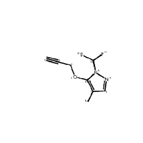 C#CCOc1c(C)[c]nn1C(F)F